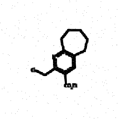 CCOC(=O)c1cc2c(nc1CCl)CCCCC2